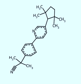 CC(C)(C#N)c1ccc(-c2ccc(C3C(C)(C)CCC3(C)C)cn2)cc1